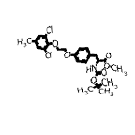 COC(=O)C(Cc1ccc(OCCOc2c(Cl)cc(C)cc2Cl)cc1)NC(=O)OC(C)(C)C